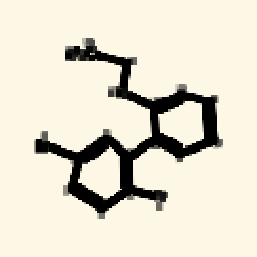 CCc1ccc(C(C)C)cc1-c1ccccc1OCOC